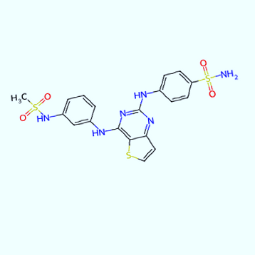 CS(=O)(=O)Nc1cccc(Nc2nc(Nc3ccc(S(N)(=O)=O)cc3)nc3ccsc23)c1